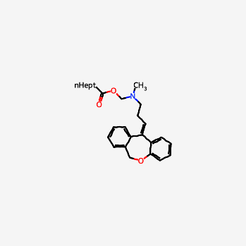 CCCCCCCC(=O)OCN(C)CC/C=C1\c2ccccc2COc2ccccc21